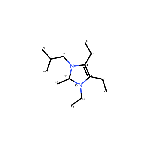 CCC1=C(CC)N(CC(C)C)C(C)N1CC